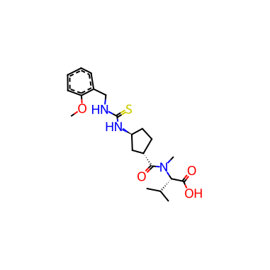 COc1ccccc1CNC(=S)N[C@H]1CC[C@H](C(=O)N(C)[C@H](C(=O)O)C(C)C)C1